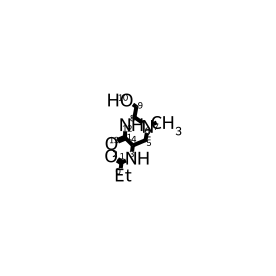 CCC(=O)NC(CN(C)CCO)C(N)=O